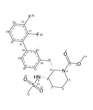 COC(=O)N1CCC[C@H](NS(C)(=O)=O)[C@@H]1Cc1cccc(-c2cccc(F)c2F)c1